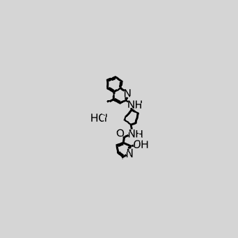 Cc1cc(NC2CCC(NC(=O)c3cccnc3O)CC2)nc2ccccc12.Cl